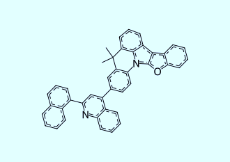 CC1(C)c2cc(-c3cc(-c4cccc5ccccc45)nc4ccccc34)ccc2-n2c3oc4ccccc4c3c3cccc1c32